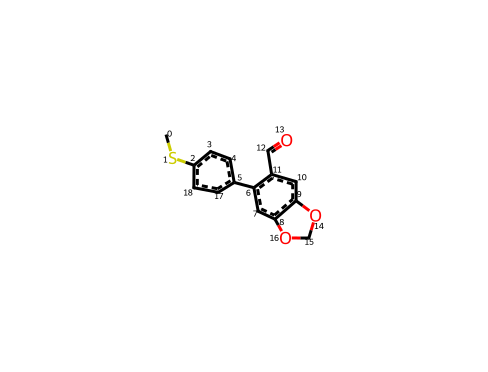 CSc1ccc(-c2cc3c(cc2C=O)OCO3)cc1